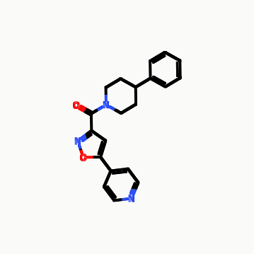 O=C(c1cc(-c2ccncc2)on1)N1CCC(c2ccccc2)CC1